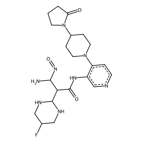 NC(N=O)C(C(=O)Nc1cnccc1N1CCC(N2CCCC2=O)CC1)C1NCC(F)CN1